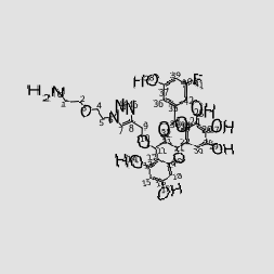 NCCOCCn1cc(COC2c3c(O)cc(O)cc3OC(c3cc(O)c(O)c(O)c3)C2OC(=O)c2cc(O)cc(F)c2)nn1